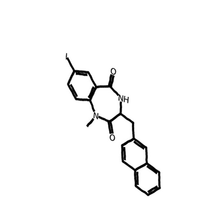 CN1C(=O)C(Cc2ccc3ccccc3c2)NC(=O)c2cc(I)ccc21